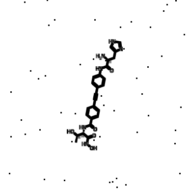 C[C@@H](O)[C@H](NC(=O)c1ccc(C#Cc2ccc(NC(=O)[C@@H](N)Cc3c[nH]cn3)cc2)cc1)C(=O)NO